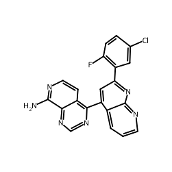 Nc1nccc2c(-c3cc(-c4cc(Cl)ccc4F)nc4ncccc34)ncnc12